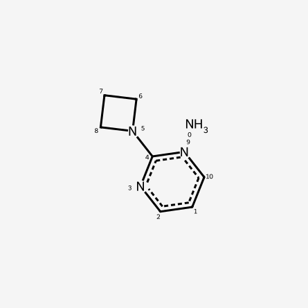 N.c1cnc(N2CCC2)nc1